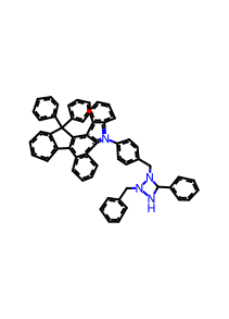 c1ccc(CN2NC(c3ccccc3)N2Cc2ccc(-n3c4ccccc4c4c5c(c6ccccc6c43)-c3ccccc3C5(c3ccccc3)c3ccccc3)cc2)cc1